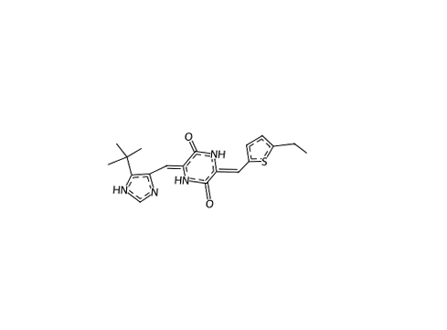 CCc1ccc(/C=c2\[nH]c(=O)/c(=C/c3nc[nH]c3C(C)(C)C)[nH]c2=O)s1